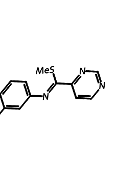 CS/C(=N\c1cccc(F)c1)c1ccncn1